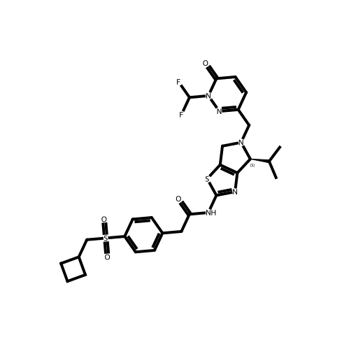 CC(C)[C@H]1c2nc(NC(=O)Cc3ccc(S(=O)(=O)CC4CCC4)cc3)sc2CN1Cc1ccc(=O)n(C(F)F)n1